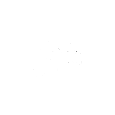 OC[C@H]1O[C@@H](c2cccc(Cc3cc4ccccc4s3)c2)[C@H](O)[C@@H](O)[C@@H]1O